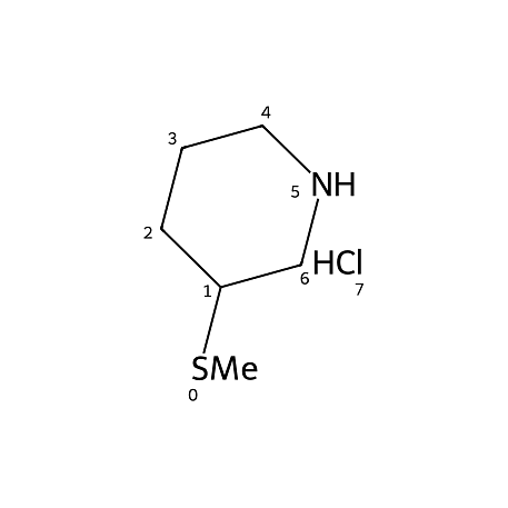 CSC1CCCNC1.Cl